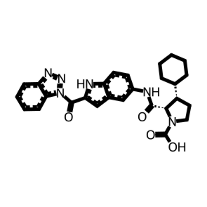 O=C(Nc1ccc2[nH]c(C(=O)n3nnc4ccccc43)cc2c1)[C@@H]1[C@H](C2CCCCC2)CCN1C(=O)O